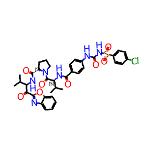 CC(C)C(NC(=O)[C@@H]1CCCN1C(=O)[C@@H](NC(=O)c1ccc(NC(=O)NS(=O)(=O)c2ccc(Cl)cc2)cc1)C(C)C)C(=O)c1nc2ccccc2o1